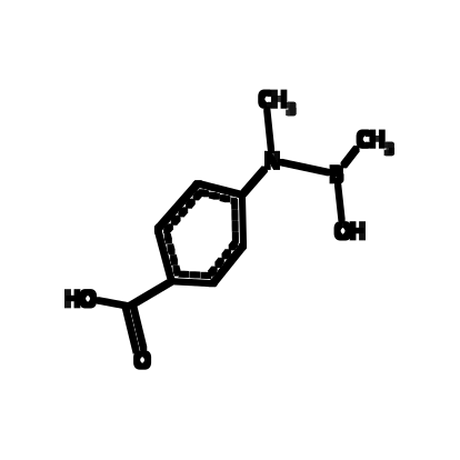 CB(O)N(C)c1ccc(C(=O)O)cc1